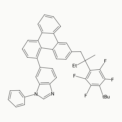 CCC(C)(Cc1ccc2c(c1)c1ccccc1c1cccc(-c3ccc4ncn(-c5ccccc5)c4c3)c12)c1c(F)c(F)c(C(C)(C)C)c(F)c1F